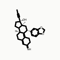 CC#C[C@]1(O)CCC2[C@@H]3CCC4=CC(=N)CCC4=C3[C@@H](c3ccc4c(c3)OCO4)C[C@@]21C